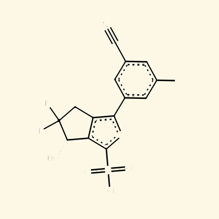 CS(=O)(=O)c1sc(-c2cc(F)cc(C#N)c2)c2c1[C@H](O)C(F)(F)C2